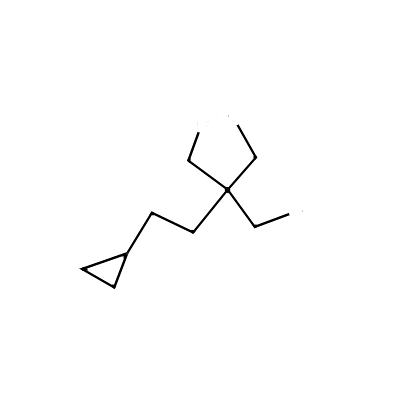 CCC(CO)(CO)CCC1CC1